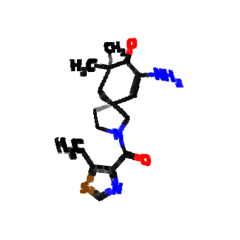 Cc1scnc1C(=O)N1CC[C@]2(C=C(N)C(=O)C(C)(C)C2)C1